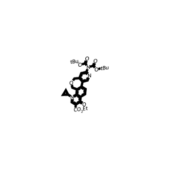 CCOC(=O)c1cn(C2CC2)c2c3c(ccc2c1=O)-c1cnc(N(C(=O)OC(C)(C)C)C(=O)OC(C)(C)C)cc1COC3